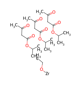 CC(=O)CC(=O)OC(C)C.CC(=O)CC(=O)OC(C)C.CC(=O)CC(=O)OC(C)C.CC[O][Zr]